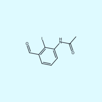 CC(=O)Nc1cccc(C=O)c1I